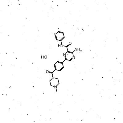 CN1CCN(C(=O)c2ccc(-c3cnc(N)c(C(=O)Nc4cccnc4)n3)cc2)CC1.Cl